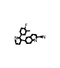 Cc1cc(-c2ncccc2-c2ccc3nc(C#N)ccc3c2)ccc1F